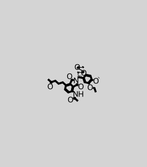 CCOc1cc([C@@H](CS(C)(=O)=O)N2C(=O)c3c(CCCC(C)=O)ccc(NC(C)=O)c3C2=O)ccc1OC